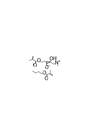 C=C(C)C(=O)OCC/[P+]([O-])=C(\O)C[N+](C)(C)C.C=C(C)C(=O)OCCCC